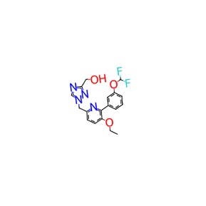 CCOc1ccc(Cn2cnc(CO)n2)nc1-c1cccc(OC(F)F)c1